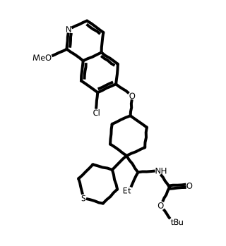 CCC(NC(=O)OC(C)(C)C)C1(C2CCSCC2)CCC(Oc2cc3ccnc(OC)c3cc2Cl)CC1